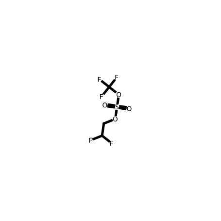 O=S(=O)(OCC(F)F)OC(F)(F)F